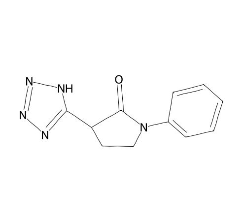 O=C1C(c2nnn[nH]2)CCN1c1ccccc1